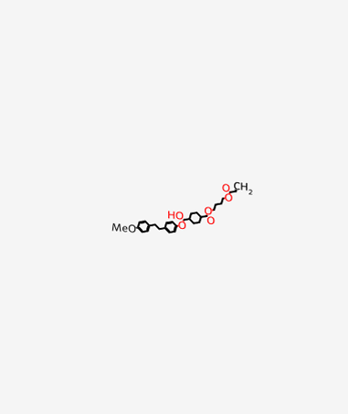 C=CC(=O)OCCCCOC(=O)C1CCC(C(O)Oc2ccc(CCc3ccc(OC)cc3)cc2)CC1